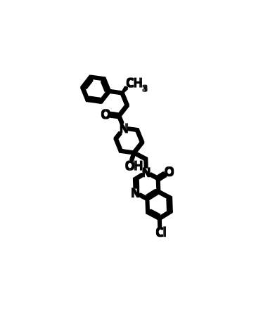 C[C@@H](CC(=O)N1CCC(O)(Cn2cnc3cc(Cl)ccc3c2=O)CC1)c1ccccc1